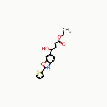 CCOC(=O)C=CC(O)c1ccc2nc(-c3cccs3)oc2c1